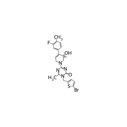 Cc1ccc(C2=CCN(c3nc(C)n(Cc4ccc(Br)s4)c(=O)n3)C[C@@H]2O)cc1F